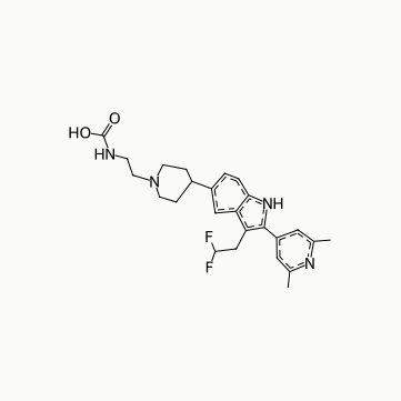 Cc1cc(-c2[nH]c3ccc(C4CCN(CCNC(=O)O)CC4)cc3c2CC(F)F)cc(C)n1